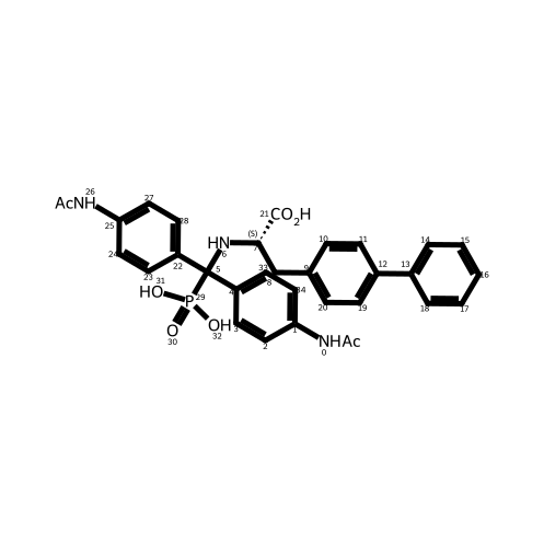 CC(=O)Nc1ccc(C(N[C@@H](Cc2ccc(-c3ccccc3)cc2)C(=O)O)(c2ccc(NC(C)=O)cc2)P(=O)(O)O)cc1